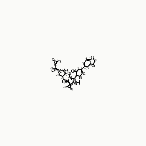 CC1=CC(C2=CC=C3OCCC3C2)=CCC1C1NC2(CC2)C(=O)N1C[C@@H]1CCN(C(=O)C2CC2)C1